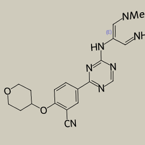 CN/C=C(\C=N)Nc1ncnc(-c2ccc(OC3CCOCC3)c(C#N)c2)n1